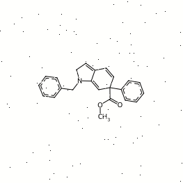 COC(=O)C1(c2ccccc2)C=CC2=[C]CN(Cc3ccccc3)C2=C1